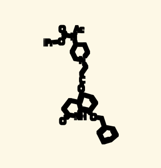 CC(=O)N(C(=O)OC(C)C)C1CCN(CCCOc2ccc(OCc3ccccc3)c3c2CCC(=O)N3)CC1